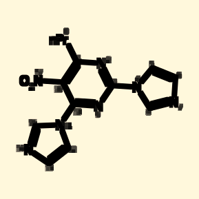 CCCc1nc(-n2ccnc2)nc(-n2ccnc2)c1[N+](=O)[O-]